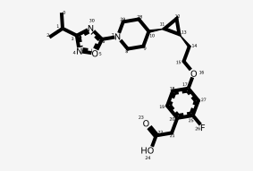 CC(C)c1noc(N2CCC([C@H]3C[C@H]3CCOc3ccc(CC(=O)O)c(F)c3)CC2)n1